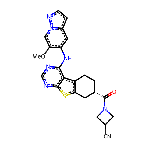 COc1cn2nccc2cc1Nc1ncnc2sc3c(c12)CC[C@H](C(=O)N1CC(C#N)C1)C3